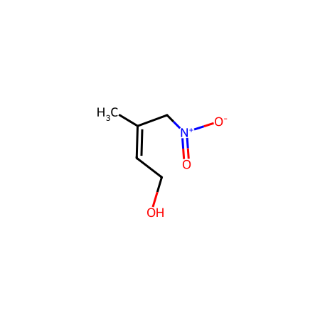 CC(=CCO)C[N+](=O)[O-]